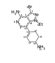 CCn1nc(Br)c2c(N)ncc(C3=CCC(N)CC3)c21